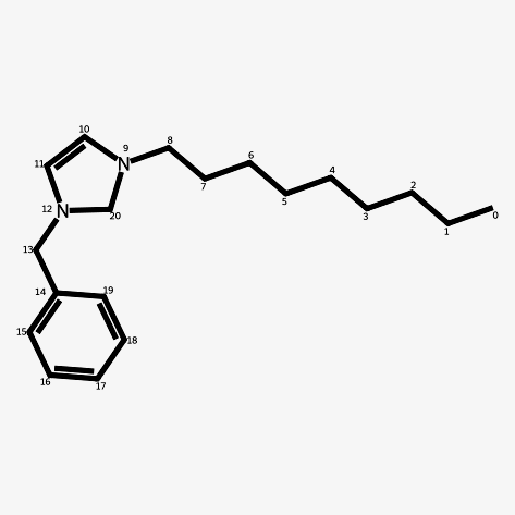 CCCCCCCCCN1C=CN(Cc2ccccc2)C1